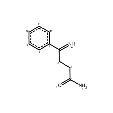 N=C(CCC(N)=O)c1ccccc1